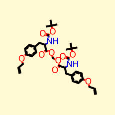 C=CCOc1ccc(CC(NC(=O)OC(C)(C)C)C(=O)OCOC(=O)C(Cc2ccc(OCC=C)cc2)NC(=O)OC(C)(C)C)cc1